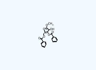 CO[C@@H]1O[C@H](COC(=O)c2ccccc2)C(OC(=O)c2ccccc2)C1O